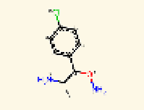 C[C@H](N)C(ON)c1ccc(Cl)cc1